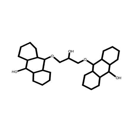 OC(COC1C2CCCCC2C(O)C2CCCCC21)COC1C2CCCCC2C(O)C2CCCCC21